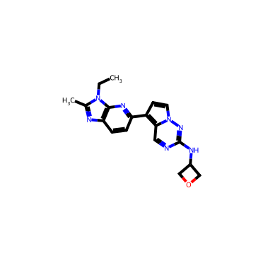 CCn1c(C)nc2ccc(-c3ccn4nc(NC5COC5)ncc34)nc21